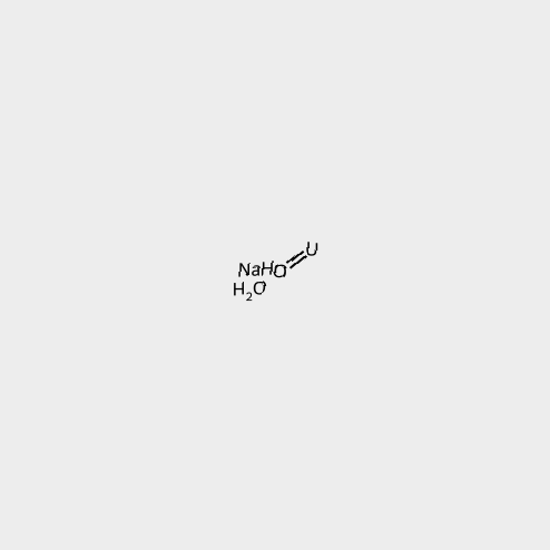 O.[NaH].[O]=[U]